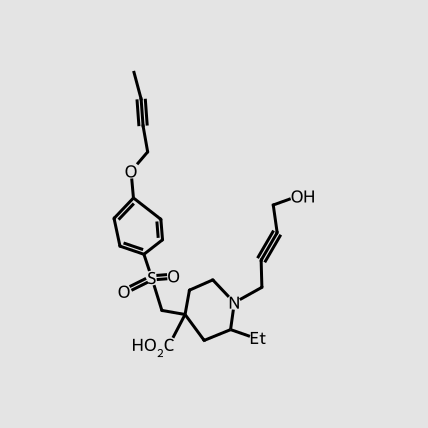 CC#CCOc1ccc(S(=O)(=O)CC2(C(=O)O)CCN(CC#CCO)C(CC)C2)cc1